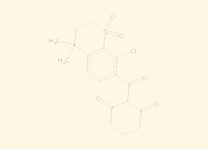 CC1(C)CCS(=O)(=O)c2c1ccc(C(=O)C1C(=O)CCCC1=O)c2Cl